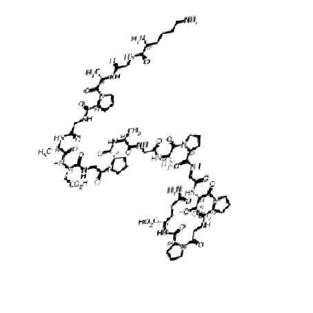 C[C@H](NC(=O)CNC(=O)[C@@H]1CCCN1C(=O)[C@H](C)NC(=O)CNC(=O)[C@@H](N)CCCCN)C(=O)N[C@@H](CC(=O)O)C(=O)NCC(=O)N1CCC[C@H]1C(=O)N[C@@H](C)C(=O)NCC(=O)N[C@@H](C)C(=O)N1CCC[C@H]1C(=O)NCC(=O)N[C@H](C(=O)N1CCC[C@H]1C(=O)NCC(=O)N1CCC[C@H]1C(=O)N[C@@H](CCC(N)=O)C(=O)O)[C@@H](C)O